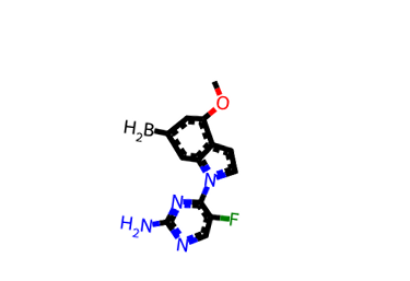 Bc1cc(OC)c2ccn(-c3nc(N)ncc3F)c2c1